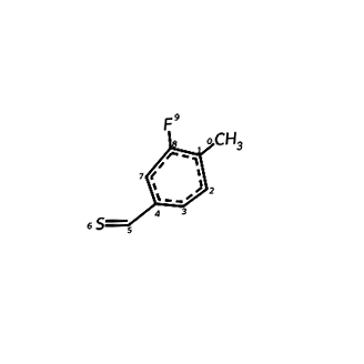 Cc1ccc(C=S)cc1F